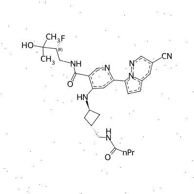 CCCC(=O)NC[C@H]1C[C@H](Nc2cc(-c3ccc4cc(C#N)cnn34)ncc2C(=O)NC[C@@H](F)C(C)(C)O)C1